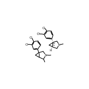 CC1C2CC2(c2ccc(Cl)c(Cl)c2)CN1C.CN1C[C@H]2C[C@@]2(c2ccc(Cl)c(Cl)c2)C1